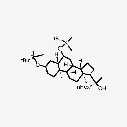 CCCCCC[C@](C)(O)[C@H]1CC[C@H]2[C@@H]3CC(O[Si](C)(C)C(C)(C)C)[C@H]4CC(O[Si](C)(C)C(C)(C)C)CC[C@]4(C)[C@H]3CC[C@@]21C